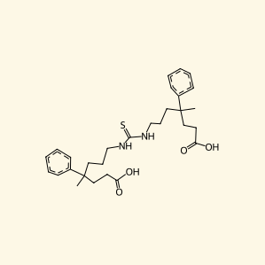 CC(CCCNC(=S)NCCCC(C)(CCC(=O)O)c1ccccc1)(CCC(=O)O)c1ccccc1